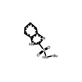 CCCCNS(=O)(=O)c1nc2ccccc2[nH]1